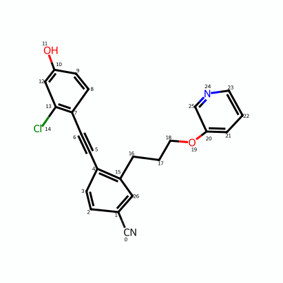 N#Cc1ccc(C#Cc2ccc(O)cc2Cl)c(CCCOc2cccnc2)c1